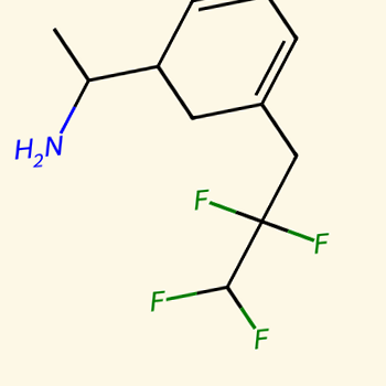 CC(N)C1C=CC=C(CC(F)(F)C(F)F)C1